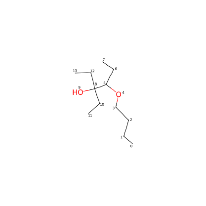 CCCCOC(CC)C(O)(CC)CC